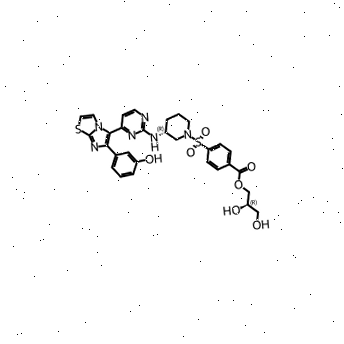 O=C(OC[C@H](O)CO)c1ccc(S(=O)(=O)N2CCC[C@@H](Nc3nccc(-c4c(-c5cccc(O)c5)nc5sccn45)n3)C2)cc1